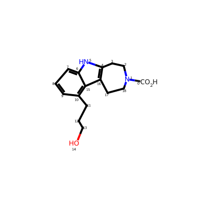 O=C(O)N1CCc2[nH]c3cccc(CCCO)c3c2CC1